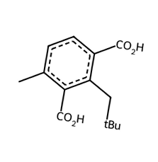 Cc1ccc(C(=O)O)c(CC(C)(C)C)c1C(=O)O